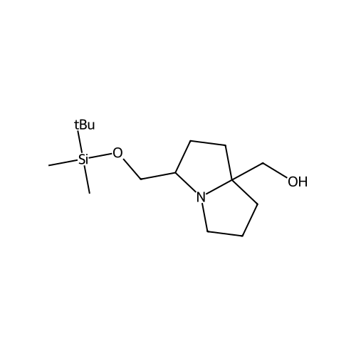 CC(C)(C)[Si](C)(C)OCC1CCC2(CO)CCCN12